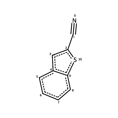 N#Cc1[c]c2ccccc2s1